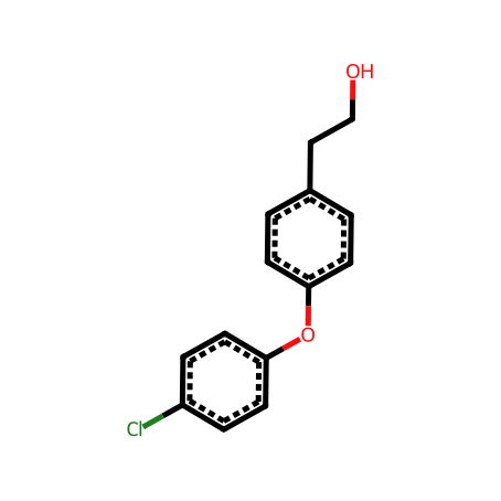 OCCc1ccc(Oc2ccc(Cl)cc2)cc1